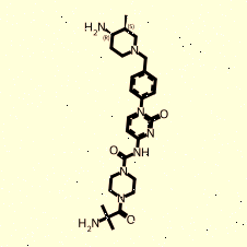 C[C@H]1CN(Cc2ccc(-n3ccc(NC(=O)N4CCN(C(=O)C(C)(C)N)CC4)nc3=O)cc2)CC[C@H]1N